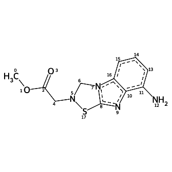 COC(=O)CN1Cn2c(nc3c(N)cccc32)S1